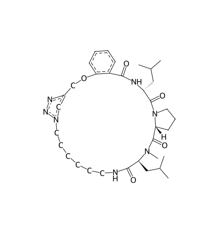 CC(C)C[C@H]1NC(=O)c2ccccc2OCc2cn(nn2)CCCCCCNC(=O)[C@H](CC(C)C)N(C)C(=O)[C@H]2CCCN2C1=O